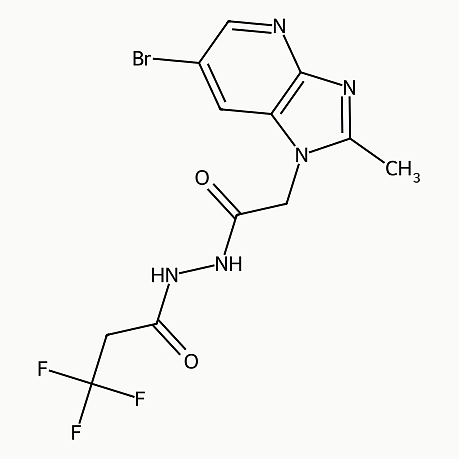 Cc1nc2ncc(Br)cc2n1CC(=O)NNC(=O)CC(F)(F)F